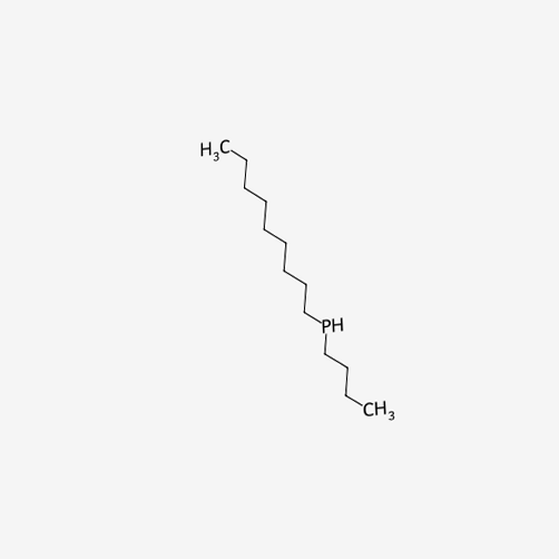 CCCCCCCCCPCCCC